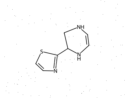 C1=CNC(c2nccs2)CN1